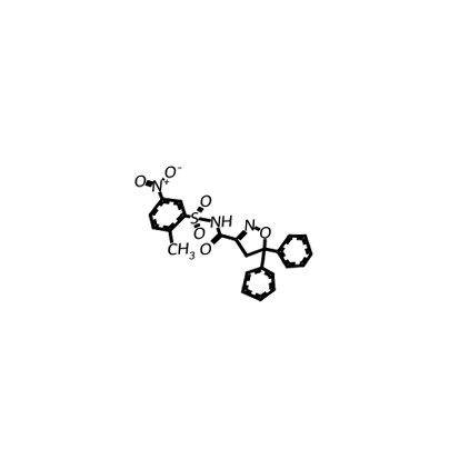 Cc1ccc([N+](=O)[O-])cc1S(=O)(=O)NC(=O)C1=NOC(c2ccccc2)(c2ccccc2)C1